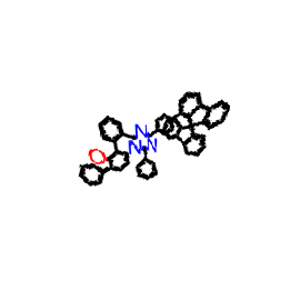 c1ccc(-c2nc(-c3ccc(-c4cccc5c4C4(c6ccccc6-c6ccccc64)c4ccccc4-5)cc3)nc(-c3ccccc3-c3cccc4c3oc3ccccc34)n2)cc1